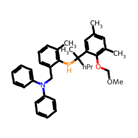 CCCC(C)(Pc1c(C)cccc1CN(c1ccccc1)c1ccccc1)c1cc(C)cc(C)c1OCOC